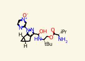 CC(C)[C@H](N)C(=O)OC[C@@H](NC(O)c1nn(-c2c[n+]([O-])ccn2)c2c1C[C@@H]1C[C@H]21)C(C)(C)C